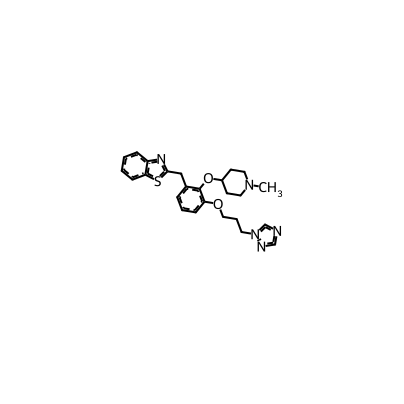 CN1CCC(Oc2c(Cc3nc4ccccc4s3)cccc2OCCCn2cncn2)CC1